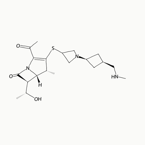 CNC[C@H]1C[C@@H](N2CC(SC3=C(C(C)=O)N4C(=O)[C@H]([C@@H](C)O)[C@H]4[C@H]3C)C2)C1